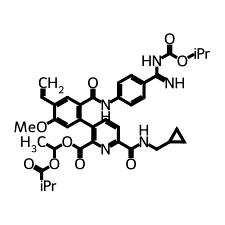 C=Cc1cc(C(=O)Nc2ccc(C(=N)NC(=O)OC(C)C)cc2)c(-c2ccc(C(=O)NCC3CC3)nc2C(=O)OC(C)OC(=O)C(C)C)cc1OC